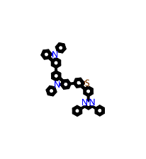 c1ccc(-c2cc(-c3ccccc3)nc(-c3ccc4sc5ccc(-c6ccc7c(c6)c6cc(-c8ccc9c(c8)c8ccccc8n9-c8ccccc8)ccc6n7-c6ccccc6)cc5c4c3)n2)cc1